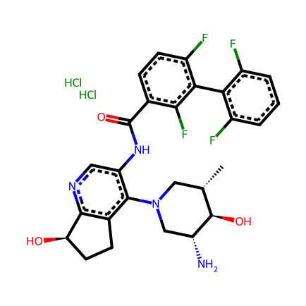 C[C@H]1CN(c2c(NC(=O)c3ccc(F)c(-c4c(F)cccc4F)c3F)cnc3c2CC[C@H]3O)C[C@@H](N)[C@@H]1O.Cl.Cl